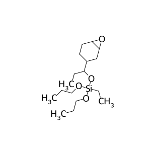 CCCO[Si](CC)(OCCC)OC(CC)C1CCC2OC2C1